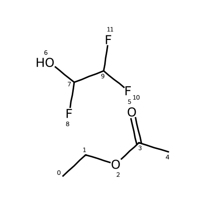 CCOC(C)=O.OC(F)C(F)F